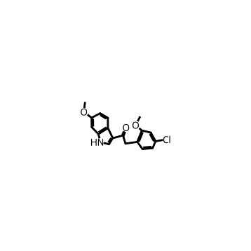 COc1ccc2c(C(=O)Cc3ccc(Cl)cc3OC)c[nH]c2c1